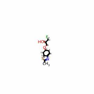 CC1=NC2=CCC(OCC(O)CF)CC2S1